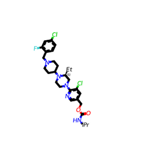 CC[C@H]1CN(c2ncc(COC(=O)NC(C)C)cc2Cl)CCN1C1CCN(Cc2ccc(Cl)cc2F)CC1